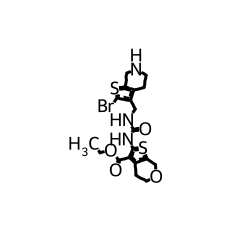 CCOC(=O)c1c(NC(=O)NCc2c(Br)sc3c2CCNC3)sc2c1CCOC2